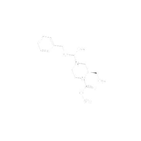 CC(C)(C)OC(=O)N1CCN(C(O)OCc2ccccc2)C[C@H]1CO